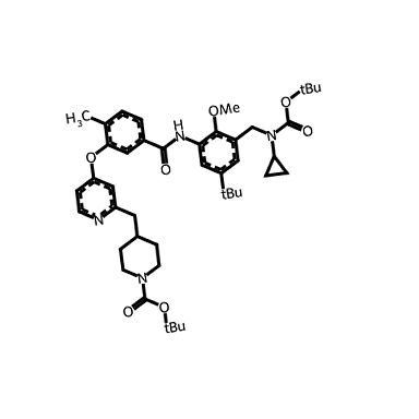 COc1c(CN(C(=O)OC(C)(C)C)C2CC2)cc(C(C)(C)C)cc1NC(=O)c1ccc(C)c(Oc2ccnc(CC3CCN(C(=O)OC(C)(C)C)CC3)c2)c1